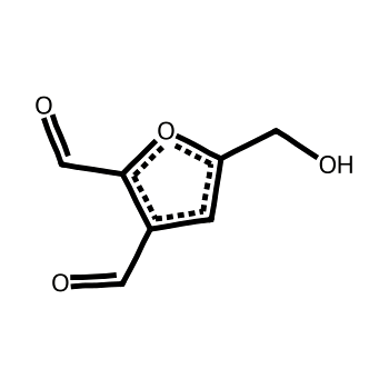 O=Cc1cc(CO)oc1C=O